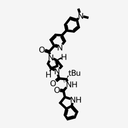 CN(C)c1ccc(-c2ccc(C(=O)N3C[C@@H]4C[C@H]3CN4C(=O)[C@@H](NC(=O)C3Cc4ccccc4N3)C(C)(C)C)nc2)cc1